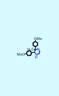 COc1ccc(C2NCC[N]C2(C)c2ccc(OC)cc2)cc1